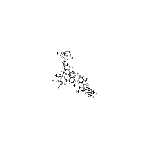 C[C@@H]1CN(c2cc(F)c(-c3cc(C(=O)NC(C)(C)CC(C)(C)C)c(F)cc3F)c(F)c2NC(=O)c2cnc(OCC[Si](C)(C)C)cc2C(F)(F)F)C[C@H](C)N1C